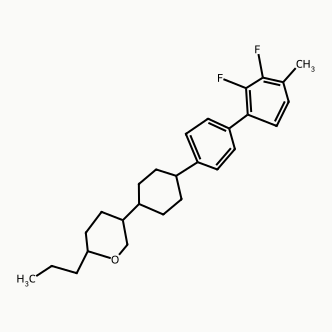 CCCC1CCC(C2CCC(c3ccc(-c4ccc(C)c(F)c4F)cc3)CC2)CO1